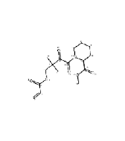 C=CC(=O)OCC(C)(C)C(=O)C(=O)N1CCCC[C@H]1C(=O)OC